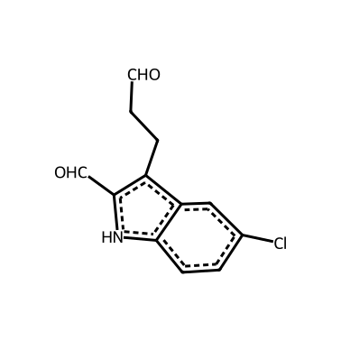 O=CCCc1c(C=O)[nH]c2ccc(Cl)cc12